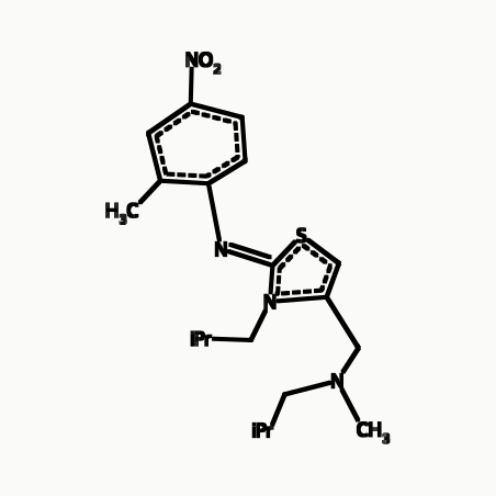 Cc1cc([N+](=O)[O-])ccc1N=c1scc(CN(C)CC(C)C)n1CC(C)C